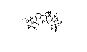 CCOC(=O)N(C(=O)c1cc(-c2cnn3c2C(F)Oc2c(C(F)(C(F)(F)F)C(F)(F)F)nn(C)c2-3)ccc1Cl)C1(C#N)CC1